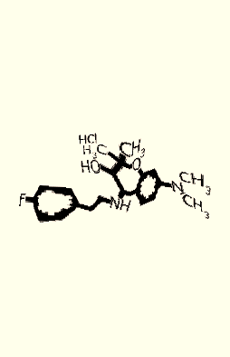 CN(C)c1ccc2c(c1)OC(C)(C)C(O)C2NCCc1ccc(F)cc1.Cl